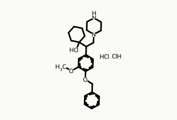 COc1cc(C(CN2CCNCC2)C2(O)CCCCC2)ccc1OCc1ccccc1.Cl.Cl